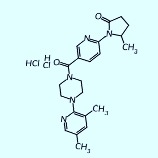 Cc1cnc(N2CCN(C(=O)c3ccc(N4C(=O)CCC4C)nc3)CC2)c(C)c1.Cl.Cl